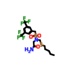 CCCCCSCN(CC(N)=O)S(=O)(=O)Cc1cc(C(F)(F)F)cc(C(F)(F)F)c1